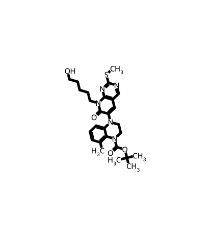 CSc1ncc2cc(N3CCN(C(=O)OC(C)(C)C)c4c(C)cccc43)c(=O)n(CCCCCO)c2n1